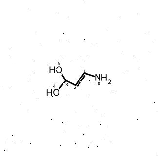 NC=CC(O)O